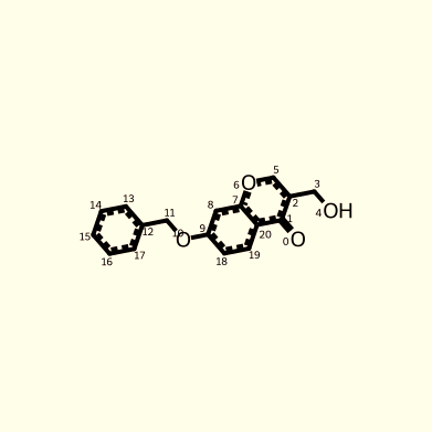 O=c1c(CO)coc2cc(OCc3ccccc3)ccc12